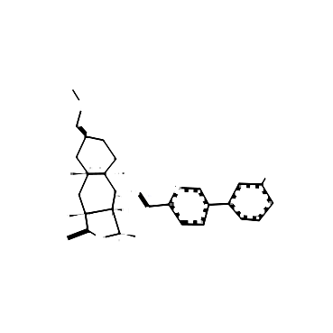 COC=C1CC[C@@H]2[C@@H](C1)C[C@H]1C(=O)O[C@H](C)[C@H]1[C@H]2/C=C/c1ccc(-c2cccc(F)c2)cn1